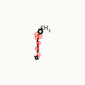 Cc1ccc(S(=O)(=O)OCCOCCOCCOC2CCC2)cc1